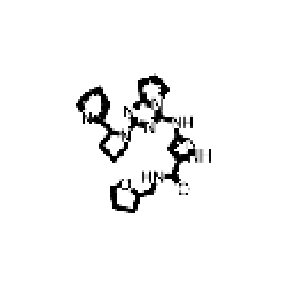 O=C(NCC1CCCO1)c1cc(Nc2nc(N3CCCC3c3ccccn3)nc3cccn23)n[nH]1